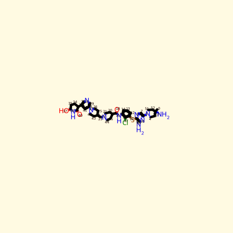 CC1(N)CCN(c2cnc(Sc3cccc(NC(=O)C4CCN(CC5CCN(c6cncc(C7CCC(O)NC7=O)c6)CC5)CC4)c3Cl)c(N)n2)CC1